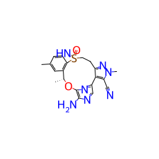 Cc1ccc2c(c1)[C@@H](C)Oc1nc(cnc1N)-c1c(nn(C)c1C#N)CCS2(=N)=O